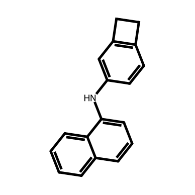 c1ccc2c(Nc3ccc4c(c3)CC4)cccc2c1